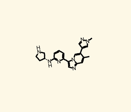 Cc1cc2ncc(-c3cccc(N[C@@H]4CCNC4)n3)n2cc1-c1cnn(C)c1